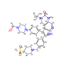 CC(=O)N1CCN(c2ccc(-c3c(-c4ccc(CN5CCC(S(C)(=O)=O)CC5)cc4)[nH]c4ncc5c(c34)CN(C(C)(C)C)C(=O)N5C)cc2)CC1